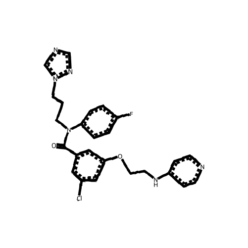 O=C(c1cc(Cl)cc(OCCNc2ccncc2)c1)N(CCCn1cncn1)c1ccc(F)cc1